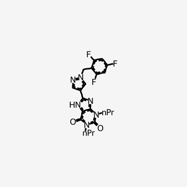 CCCn1c(=O)c2[nH]c(-c3cnn(Cc4c(F)cc(F)cc4F)c3)nc2n(CCC)c1=O